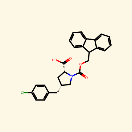 O=C(O)[C@H]1C[C@@H](Cc2ccc(Cl)cc2)CN1C(=O)OCC1c2ccccc2-c2ccccc21